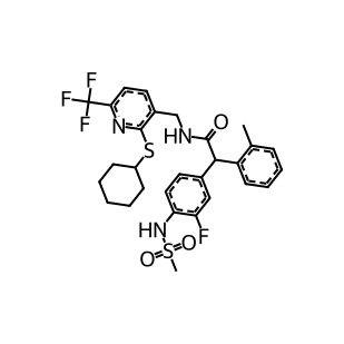 Cc1ccccc1C(C(=O)NCc1ccc(C(F)(F)F)nc1SC1CCCCC1)c1ccc(NS(C)(=O)=O)c(F)c1